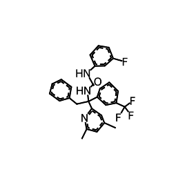 Cc1cc(C)nc(C(Cc2ccccc2)(NC(=O)Nc2cccc(F)c2)c2cccc(C(F)(F)F)c2)c1